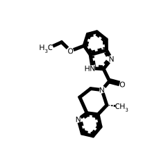 CCOc1cccc2nc(C(=O)N3CCc4ncccc4[C@H]3C)[nH]c12